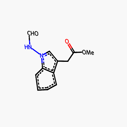 COC(=O)Cc1cn(NC=O)c2ccccc12